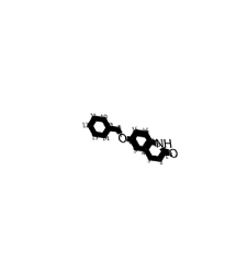 O=C1CCc2cc(OCC3CCCCC3)ccc2N1